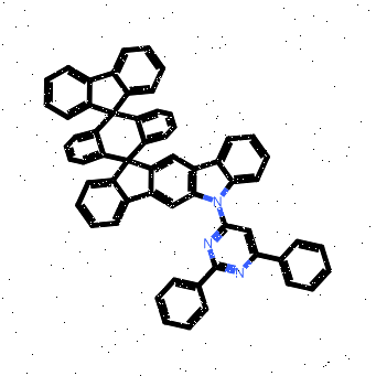 c1ccc(-c2cc(-n3c4ccccc4c4cc5c(cc43)-c3ccccc3C53c4ccccc4C4(c5ccccc5-c5ccccc54)c4ccccc43)nc(-c3ccccc3)n2)cc1